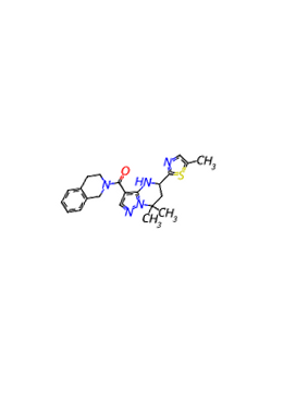 Cc1cnc(C2CC(C)(C)n3ncc(C(=O)N4CCc5ccccc5C4)c3N2)s1